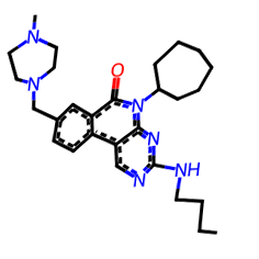 CCCCNc1ncc2c3ccc(CN4CCN(C)CC4)cc3c(=O)n(C3CCCCCC3)c2n1